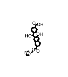 O=C(O)c1ccc(C(O)c2cc3cc(C(=O)OCn4ccnc4)ccc3cc2O)cc1